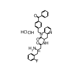 Cl.Cl.N[C@@H](CC(=O)NC1Cc2ncccc2N(Cc2ccc(C(=O)c3ccccc3)cc2)C1=O)Cc1ccccc1F